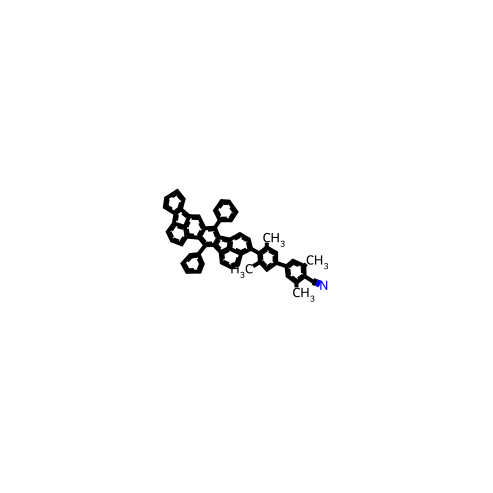 Cc1cc(-c2cc(C)c(-c3ccc4c5c(-c6ccccc6)c6cc7c8ccccc8c8cccc(c6c(-c6ccccc6)c5c5cccc3c45)c87)c(C)c2)cc(C)c1C#N